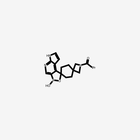 CC(C)C(=O)N1CC2(CCC3(CC2)OB(O)c2cnc4[nH]ccc4c23)C1